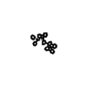 c1ccc(-c2cc3c(ccc4c5ccccc5n(-c5cccc(-c6ccc7c(c6)C6(c8ccccc8-c8ccccc86)c6ccccc6-7)c5)c43)n2-c2ccccc2)cc1